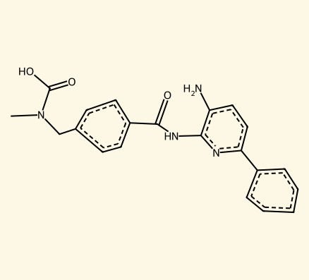 CN(Cc1ccc(C(=O)Nc2nc(-c3ccccc3)ccc2N)cc1)C(=O)O